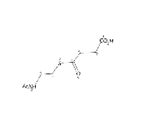 CC(=O)NCCSC(=O)CCC(=O)O